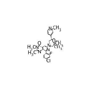 Cc1cc([C@@H]2CN(c3cc4c(=O)n(C)c(C)nc4c(-c4ccc(Cl)cc4F)n3)CC(C)(C)O2)ccn1